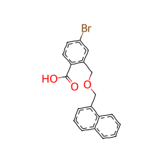 O=C(O)c1ccc(Br)cc1COCc1cccc2ccccc12